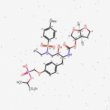 CCOC(=O)C(C)OP(=O)(O)COc1ccc(C[C@H](NC(=O)O[C@H]2CO[C@H]3OCC[C@H]32)[C@H](O)CN(CC(C)C)S(=O)(=O)c2ccc(OC)cc2)cc1